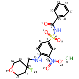 Cl.O=C(NS(=O)(=O)c1ccc(NCC2(F)CCOCC2)c([N+](=O)[O-])c1)c1ccccc1